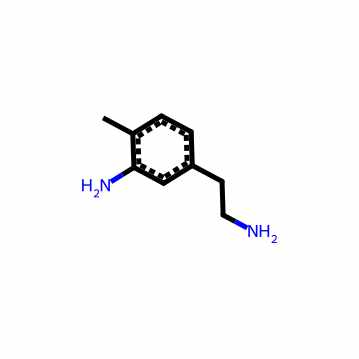 Cc1ccc(CCN)cc1N